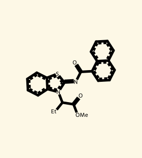 CCC(C(=O)OC)n1c(=NC(=O)c2cccc3ccccc23)sc2ccccc21